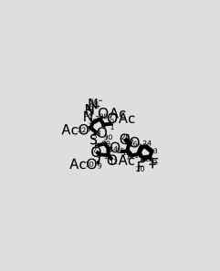 CC(=O)OCC1O[C@@H](SC2O[C@H](COC(C)=O)C(OC(C)=O)C(OCc3cc4c(F)c(F)ccc4oc3=O)[C@H]2C)C(OC(C)=O)[C@@H](N=[N+]=[N-])[C@H]1OC(C)=O